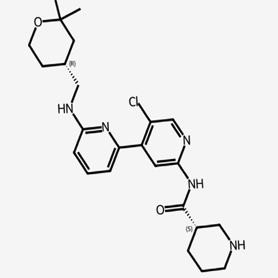 CC1(C)C[C@H](CNc2cccc(-c3cc(NC(=O)[C@H]4CCCNC4)ncc3Cl)n2)CCO1